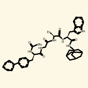 CC[C@H](NC(=O)CNC(=O)[C@@H](Cc1ccc(-c2ccccc2)cc1)NC(=O)C(C)(C)C)C(=O)N[C@@H](Cc1c[nH]c2ccccc12)C(=O)NC12CC3CC(CC(C3)C1)C2